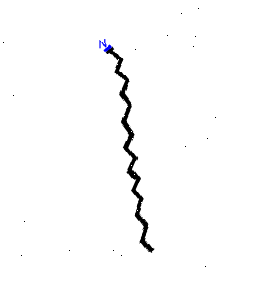 CCCCCCC=CCCCCCCCCCC#N